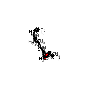 CC[C@@]1(OC(=O)OCc2ccc(NC(=O)CNC(=O)COCC(=O)NC(C)(C)COC(C)(C)Cn3cc(CNC(=O)CCC/C=C\C4=CN=C(N)SC(C)C4C)nn3)cc2)C(=O)OCC(C)=C1/C=C1/c2nc3ccccc3c(CCN(C(C)C)[S+](C)[O-])c2CN1C=O